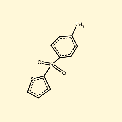 Cc1ccc(S(=O)(=O)c2cccs2)cc1